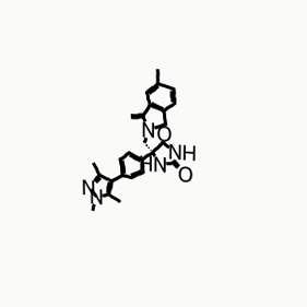 C=C1c2cc(C)ccc2CN1C[C@@]1(c2ccc(-c3c(C)nn(C)c3C)cc2)NC(=O)NC1=O